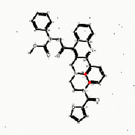 COC(=O)N(NC(=O)c1c(CN2CCN(C(=O)c3ccco3)CC2)c(-c2ccccc2)nc2ccccc12)c1ccccc1